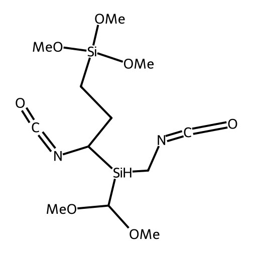 COC(OC)[SiH](CN=C=O)C(CC[Si](OC)(OC)OC)N=C=O